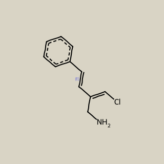 NCC(=CCl)/C=C/c1ccccc1